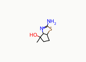 CC1(O)CCC2SC(N)=NC21